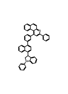 c1ccc(-c2cc(-c3cccc(-c4ccc(C5CN(c6ccccc6)c6ccccc65)c5ccccc45)c3)c3c(ccc4ccccc43)n2)cc1